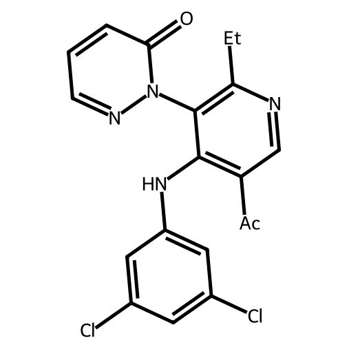 CCc1ncc(C(C)=O)c(Nc2cc(Cl)cc(Cl)c2)c1-n1ncccc1=O